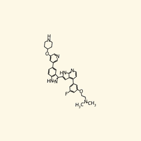 CN(C)CCOc1cc(F)cc(-c2ccnc3[nH]c(-c4n[nH]c5ccc(-c6cncc(OC7CCNCC7)c6)cc45)cc23)c1